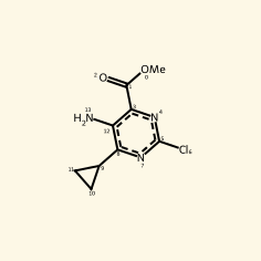 COC(=O)c1nc(Cl)nc(C2CC2)c1N